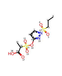 CCCS(=O)(=O)n1ccc(OS(=O)(=O)C(C)C(=O)O)n1